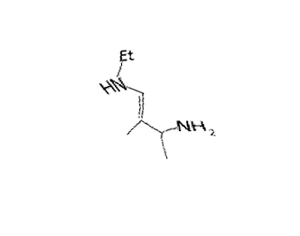 CCN/C=C(\C)C(C)N